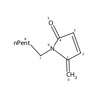 C=C1C=CC(=O)N1CCCCCC